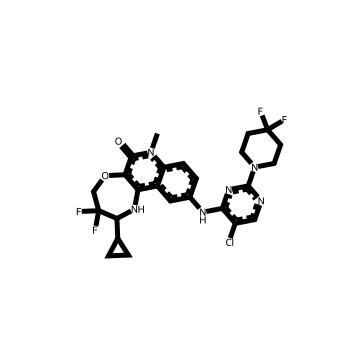 Cn1c(=O)c2c(c3cc(Nc4nc(N5CCC(F)(F)CC5)ncc4Cl)ccc31)NC(C1CC1)C(F)(F)CO2